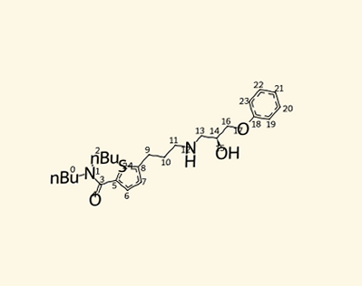 CCCCN(CCCC)C(=O)c1ccc(CCCNC[C@H](O)COc2ccccc2)s1